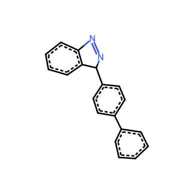 c1ccc(-c2ccc(C3N=Nc4ccccc43)cc2)cc1